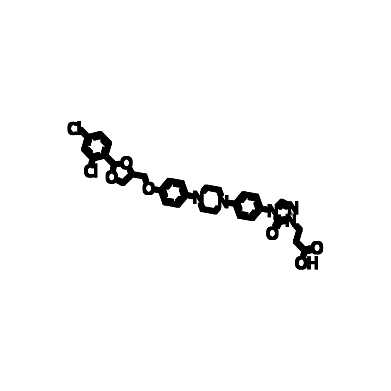 O=C(O)CCn1ncn(-c2ccc(N3CCN(c4ccc(OCC5COC(c6ccc(Cl)cc6Cl)O5)cc4)CC3)cc2)c1=O